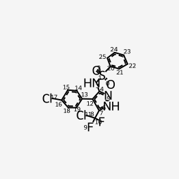 O=S(=O)(Nc1n[nH]c(C(F)(F)Cl)c1-c1ccc(Cl)cc1)c1ccccc1